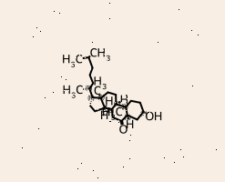 CC(C)CCC[C@@H](C)[C@H]1CC[C@H]2[C@@H]3CC(=O)[C@H]4C[C@@H](O)CC[C@]4(C)[C@H]3CC[C@]12C